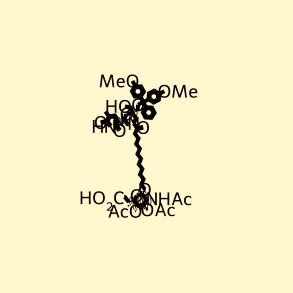 COc1ccc(C(OC[C@]2(CO)CN(C(=O)CCCCCCCCCCCO[C@@H]3O[C@H]([CH]CC(=O)O)[C@@H](OC(C)=O)[C@H](OC(C)=O)[C@H]3NC(C)=O)C[C@H](n3cc(C)c(=O)[nH]c3=O)O2)(c2ccccc2)c2ccc(OC)cc2)cc1